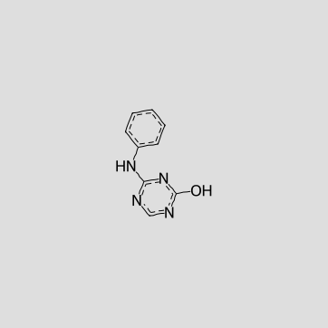 Oc1ncnc(Nc2ccccc2)n1